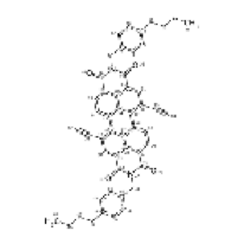 CCCCc1ccc(CN2C(=O)c3ccc4c5c(C#N)cc6c7c(ccc(c8c(C#N)cc(c3c48)C2=O)c75)C(=O)N(Cc2ccc(CCCC)cc2)C6=O)cc1